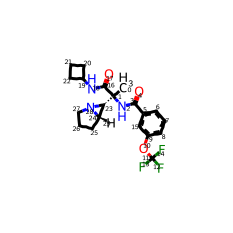 CC(NC(=O)c1cccc(OC(F)(F)F)c1)(C(=O)NC1CCC1)[C@@H]1[C@@H]2CCCN12